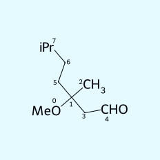 COC(C)(CC=O)CCC(C)C